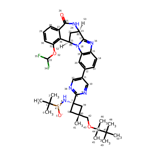 CC(C)(C)[S+]([O-])N[C@]1(c2ncc(-c3ccc4nc5n(c4c3)[C@@H]3C[C@H]5NC(=O)c4cccc(OC(F)F)c43)cn2)C[C@](C)(CO[Si](C)(C)C(C)(C)C)C1